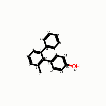 Cc1cccc(-c2ccccc2)c1-c1ccc(O)cc1